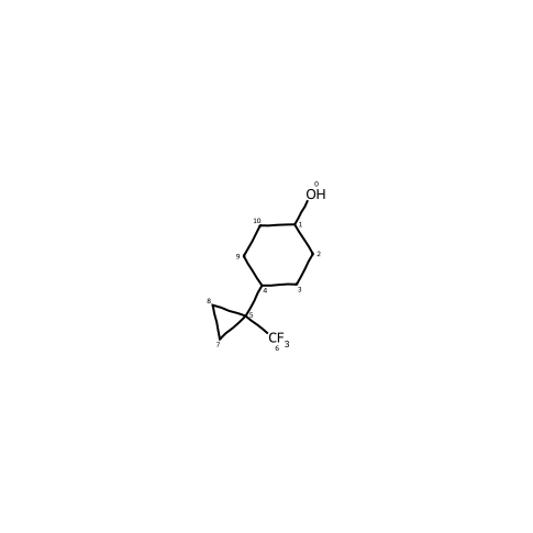 OC1CCC(C2(C(F)(F)F)CC2)CC1